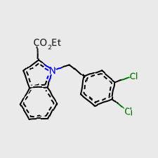 CCOC(=O)c1cc2ccccc2n1Cc1ccc(Cl)c(Cl)c1